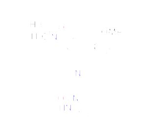 COc1cccc(C(CCN2CCC(n3c(=O)[nH]c4ccccc43)CC2)c2ccc(C3=NC(C)(C)CO3)cc2)c1